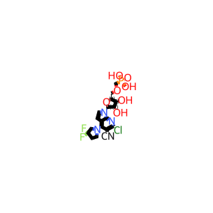 N#Cc1c(Cl)nc2c(ccn2[C@H]2O[C@H](COCP(=O)(O)O)[C@@H](O)[C@H]2O)c1N1CCC(F)(F)C1